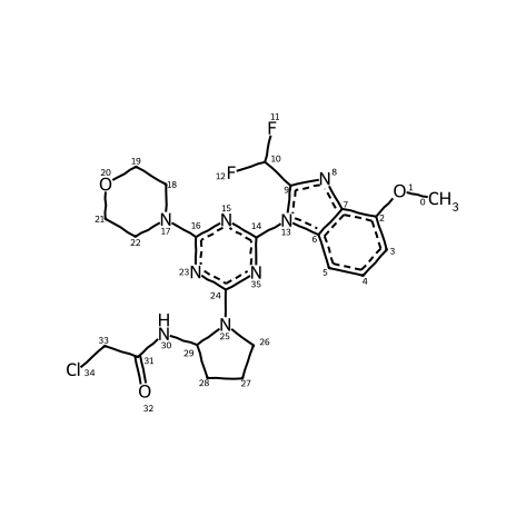 COc1cccc2c1nc(C(F)F)n2-c1nc(N2CCOCC2)nc(N2CCCC2NC(=O)CCl)n1